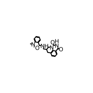 CN(C)c1ccccc1C(=O)NCC1Cc2cccc3c(=O)[nH]c(=O)n(c23)C1